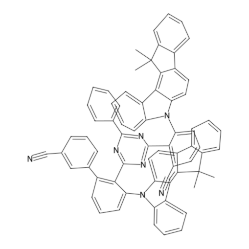 CC1(C)c2ccccc2-c2ccc3c(c21)c1ccccc1n3-c1cccc(C#N)c1-c1nc(-c2ccccc2)nc(-c2c(-c3cccc(C#N)c3)cccc2-n2c3ccccc3c3c4c(ccc32)-c2ccccc2C4(C)C)n1